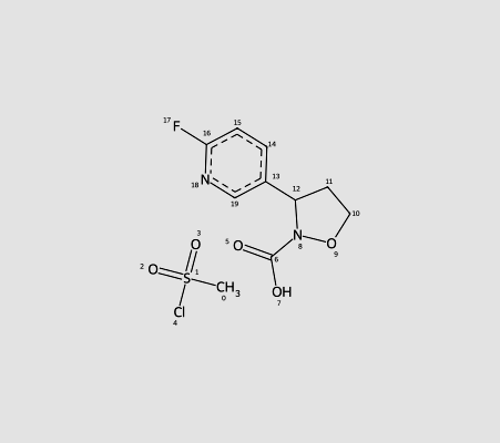 CS(=O)(=O)Cl.O=C(O)N1OCCC1c1ccc(F)nc1